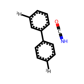 N=C=O.[2H]c1ccc(-c2cccc([2H])c2)cc1